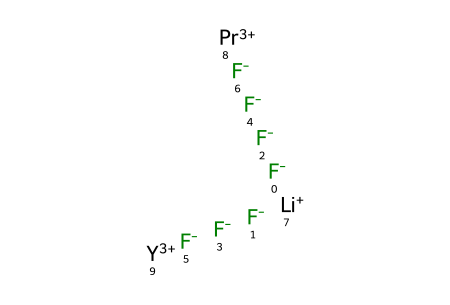 [F-].[F-].[F-].[F-].[F-].[F-].[F-].[Li+].[Pr+3].[Y+3]